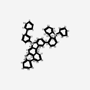 c1ccc(-c2cccc(-n3c4ccc(-c5cccc6c5c5ccccc5n6-c5ccccc5)cc4c4c5cccc6c5c(cc43)Sc3ccccc3-6)c2)cc1